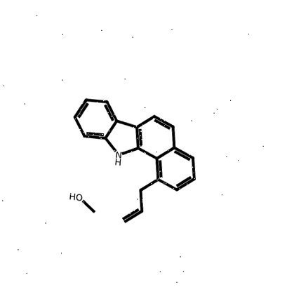 C=CCc1cccc2ccc3c4ccccc4[nH]c3c12.CO